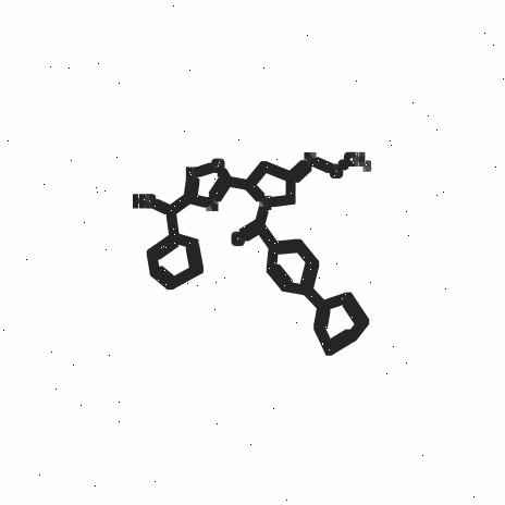 CON=C1CC(c2nc(C(O)c3ccccc3)no2)N(C(=O)c2ccc(-c3ccccc3)cc2)C1